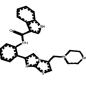 O=C(Nc1ccccc1-c1cn2c(CN3CCNCC3)csc2n1)c1c[nH]c2ccccc12